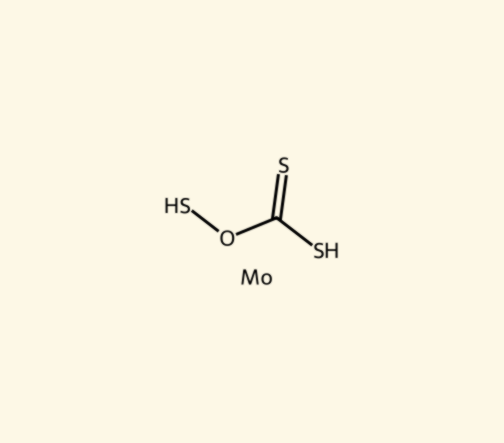 S=C(S)OS.[Mo]